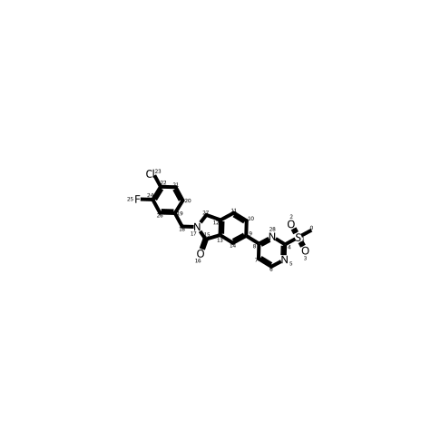 CS(=O)(=O)c1nccc(-c2ccc3c(c2)C(=O)N(Cc2ccc(Cl)c(F)c2)C3)n1